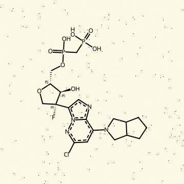 O=P(O)(O)CP(=O)(O)OC[C@H]1OC[C@](F)(c2cnc3c(N4CC5CCCC5C4)cc(Cl)nn23)[C@@H]1O